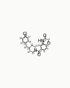 O=C1COc2ccc(C(=O)N3CCC(Cc4ccc(Cl)cc4)CC3)cc2N1